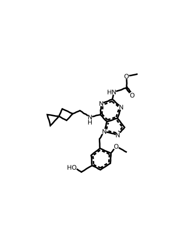 COC(=O)Nc1nc(NCC2CC3(CC3)C2)c2c(cnn2Cc2cc(CO)ccc2OC)n1